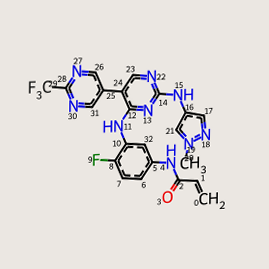 C=CC(=O)Nc1ccc(F)c(Nc2nc(Nc3cnn(C)c3)ncc2-c2cnc(C(F)(F)F)nc2)c1